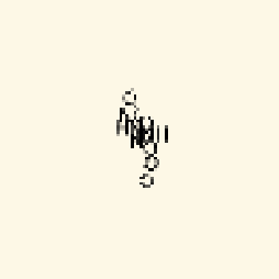 O=C(Nc1nc2cc(OCc3ccccc3)ccc2[nH]1)c1cc2ccccc2cn1